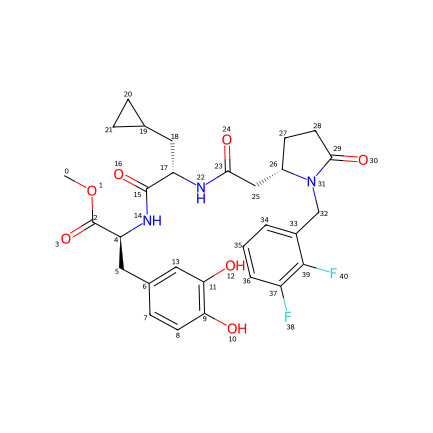 COC(=O)[C@H](Cc1ccc(O)c(O)c1)NC(=O)[C@H](CC1CC1)NC(=O)C[C@@H]1CCC(=O)N1Cc1cccc(F)c1F